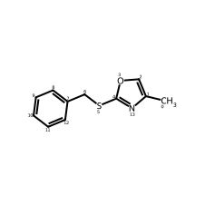 Cc1coc(SCc2ccccc2)n1